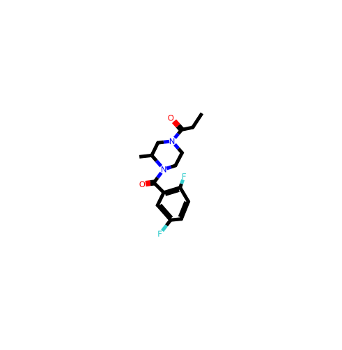 CCC(=O)N1CCN(C(=O)c2cc(F)ccc2F)C(C)C1